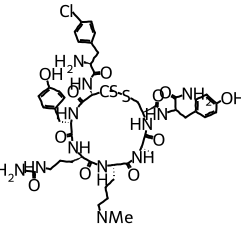 CNCCCC[C@@H]1NC(=O)[C@@H](CCCNC(N)=O)NC(=O)[C@H](Cc2ccc(O)cc2)NC(=O)[C@H](NC(=O)[C@@H](N)Cc2ccc(Cl)cc2)CSSC[C@@H](C(=O)NC(Cc2ccc(O)cc2)C(N)=O)NC(=O)[C@H](C)NC1=O